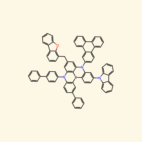 c1ccc(-c2ccc(N3c4ccc(-c5ccccc5)cc4B4c5ccc(-n6c7ccccc7c7ccccc76)cc5N(c5ccc6c7ccccc7c7ccccc7c6c5)c5cc(Cc6cccc7c6oc6ccccc67)cc3c54)cc2)cc1